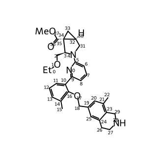 CCOC[C@@H]1N(c2cccc(-c3cccc(C)c3OCc3cc(C)c4c(c3)CCNC4)n2)C[C@@H]2C[C@@]21C(=O)OC